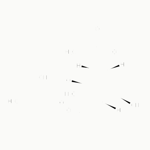 C/C=C(\C)C(=O)O[C@H]1[C@@H]2[C@H](C)C(=O)O[C@@H]2C[C@@H](C)[C@@H]2C=CC(=O)[C@]21C